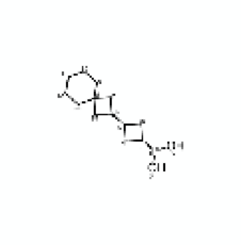 OP(O)[C@H]1C[C@@H](C2CC3(CCCCC3)C2)C1